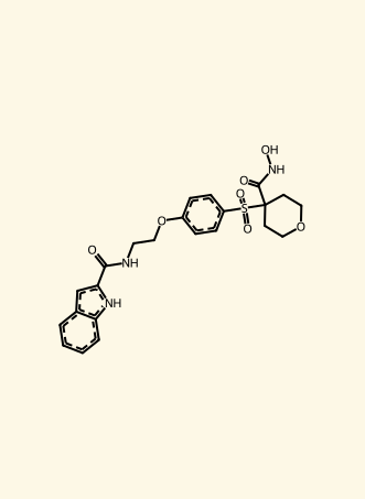 O=C(NCCOc1ccc(S(=O)(=O)C2(C(=O)NO)CCOCC2)cc1)c1cc2ccccc2[nH]1